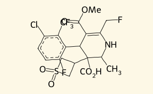 COC(=O)C1=C(CF)NC(C)C(C(=O)O)(C2CS(=O)(=O)C2)C1c1c(F)ccc(Cl)c1C(F)(F)F